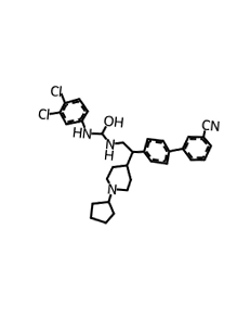 N#Cc1cccc(-c2ccc(C(CNC(O)Nc3ccc(Cl)c(Cl)c3)C3CCN(C4CCCC4)CC3)cc2)c1